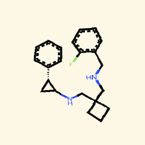 Fc1ccccc1CNCC1(CNC2C[C@@H]2c2ccccc2)CCC1